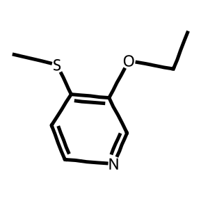 CCOc1cnccc1SC